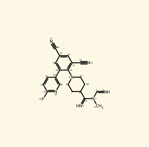 CN(C=N)C(=N)C1CCN(c2c(C#N)cc(C#N)cc2-c2ccc(F)nc2)CC1